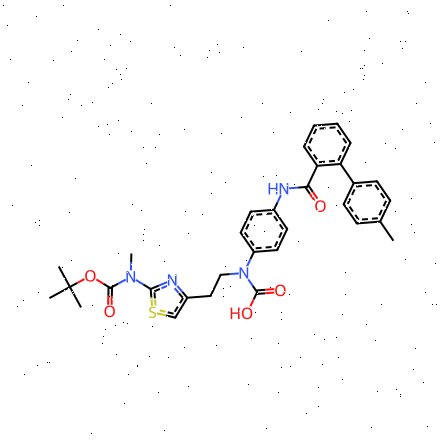 Cc1ccc(-c2ccccc2C(=O)Nc2ccc(N(CCc3csc(N(C)C(=O)OC(C)(C)C)n3)C(=O)O)cc2)cc1